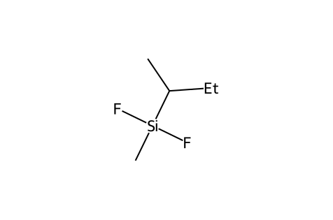 CCC(C)[Si](C)(F)F